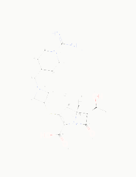 CC(O)[C@H]1C(=O)N2C(C(=O)O)=C(SC3CN(CC4CCN(C(=N)N)CC4)C3)[C@H](C)[C@H]12